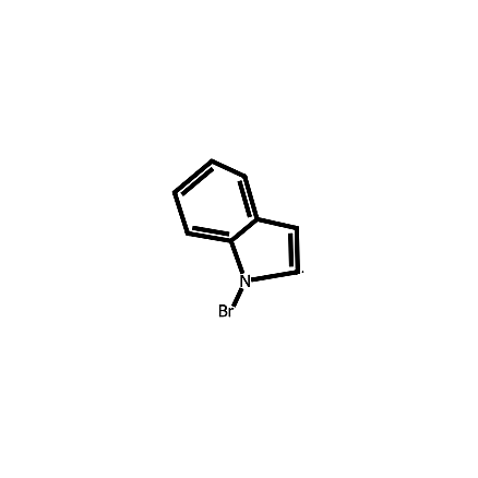 Brn1[c]cc2ccccc21